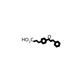 O=C(O)CCCc1ccc(C(=O)C=Cc2ccccc2)cc1